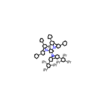 CC(C)c1cc(C(C)C)c(-c2ccc3c(c2)c2cc(-c4c(C(C)C)cc(C(C)C)cc4C(C)C)ccc2n3-c2cc3c4c(c2)-n2c5ccc(-c6ccccc6)cc5c5cc(-c6ccccc6)cc(c52)B4c2cc(-c4ccccc4)cc4c5cc(-c6ccccc6)ccc5n-3c24)c(C(C)C)c1